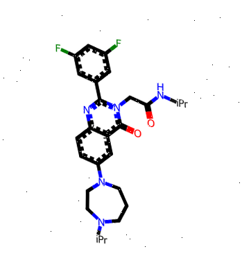 CC(C)NC(=O)Cn1c(-c2cc(F)cc(F)c2)nc2ccc(N3CCCN(C(C)C)CC3)cc2c1=O